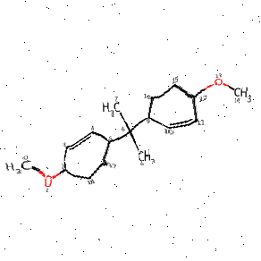 COC1C=CC(C(C)(C)C2C=CC(OC)CC2)CC1